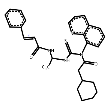 O=C(/C=C/c1ccccc1)NC(NC(=S)N(C(=O)CC1CCCCC1)c1cccc2cccnc12)C(Cl)(Cl)Cl